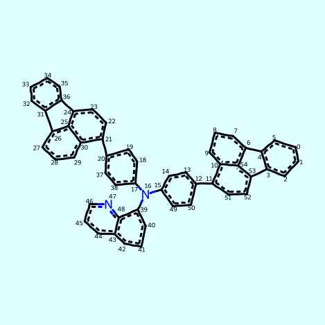 c1ccc2c(c1)-c1cccc3c(-c4ccc(N(c5ccc(-c6ccc7c8c(cccc68)-c6ccccc6-7)cc5)c5cccc6cccnc56)cc4)ccc-2c13